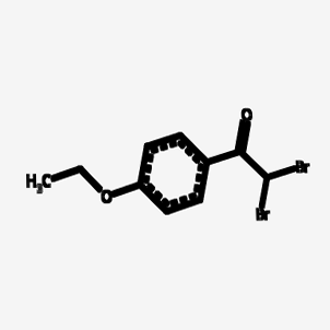 CCOc1ccc(C(=O)C(Br)Br)cc1